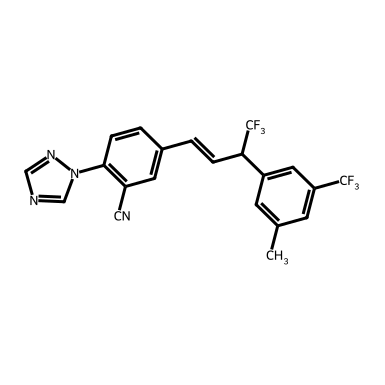 Cc1cc(C(/C=C/c2ccc(-n3cncn3)c(C#N)c2)C(F)(F)F)cc(C(F)(F)F)c1